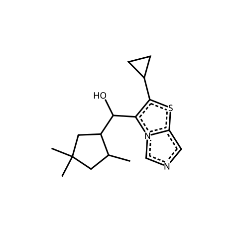 CC1CC(C)(C)CC1C(O)c1c(C2CC2)sc2cncn12